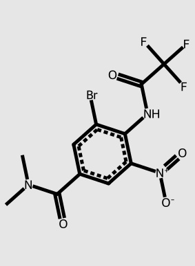 CN(C)C(=O)c1cc(Br)c(NC(=O)C(F)(F)F)c([N+](=O)[O-])c1